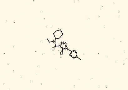 CCN(C(=O)n1nnn(-c2ccc(C)cc2)c1=O)C1CCCCC1